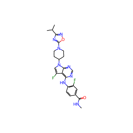 CNC(=O)c1ccc(Nc2ncnc3c2c(F)cn3C2CCN(c3nc(C(C)C)no3)CC2)c(F)c1